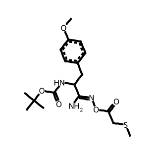 COc1ccc(CC(NC(=O)OC(C)(C)C)C(N)=NOC(=O)CSC)cc1